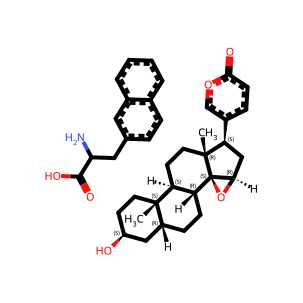 C[C@]12CC[C@H](O)C[C@H]1CC[C@@H]1[C@@H]2CC[C@]2(C)[C@@H](c3ccc(=O)oc3)C[C@H]3O[C@]132.NC(Cc1ccc2ccccc2c1)C(=O)O